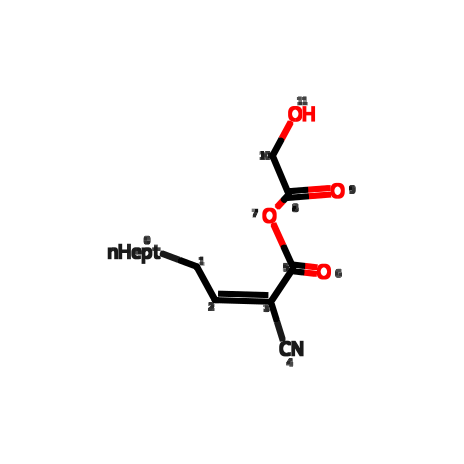 CCCCCCCCC=C(C#N)C(=O)OC(=O)CO